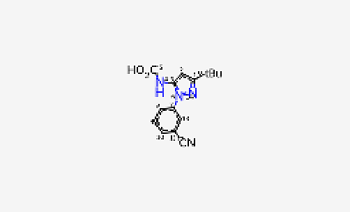 CC(C)(C)c1cc(NC(=O)O)n(-c2cccc(C#N)c2)n1